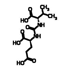 CC(C)[C@H](NC(=O)N[C@@H](CCC(=O)O)C(=O)O)C(=O)O